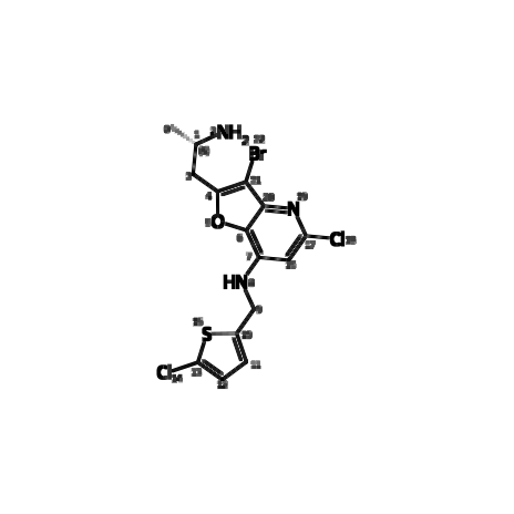 C[C@H](N)Cc1oc2c(NCc3ccc(Cl)s3)cc(Cl)nc2c1Br